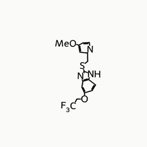 COc1ccnc(CSc2nc3cc(OCC(F)(F)F)ccc3[nH]2)c1